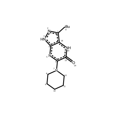 CCC(C)c1n[nH]c2nc(N3CCCCC3)c(=O)[nH]c12